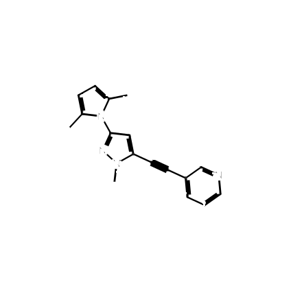 Cc1ccc(C)n1-c1cc(C#Cc2cccnc2)n(C)n1